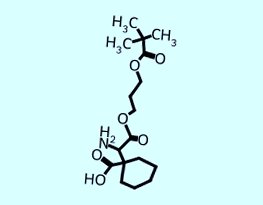 CC(C)(C)C(=O)OCCCOC(=O)C(N)C1(C(=O)O)CCCCC1